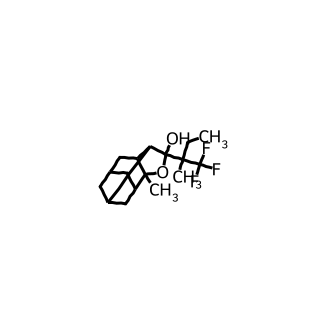 CCC(C)(C(F)(F)F)C1(O)OC2(C)C3CC4CC(C3)C1C2C4